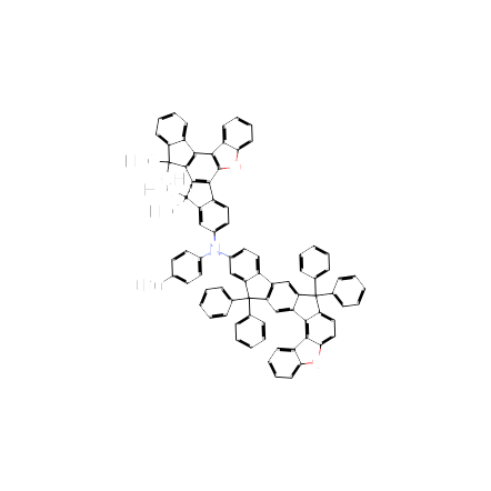 CC(C)(C)c1ccc(N(c2ccc3c(c2)C(C)(C)c2c4c(c5c(oc6ccccc65)c2-3)-c2ccccc2C4(C)C)c2ccc3c(c2)C(c2ccccc2)(c2ccccc2)c2cc4c(cc2-3)C(c2ccccc2)(c2ccccc2)c2ccc3oc5ccccc5c3c2-4)cc1